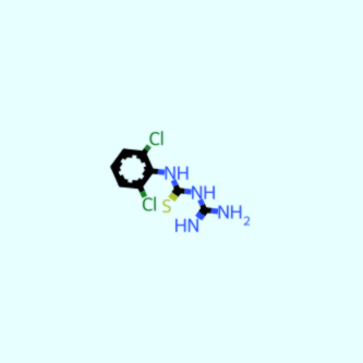 N=C(N)NC(=S)Nc1c(Cl)cccc1Cl